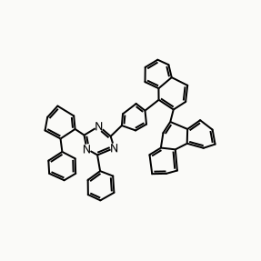 c1ccc(-c2nc(-c3ccc(-c4c(-c5cc6ccccc6c6ccccc56)ccc5ccccc45)cc3)nc(-c3ccccc3-c3ccccc3)n2)cc1